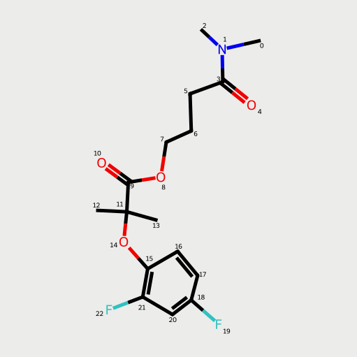 CN(C)C(=O)CCCOC(=O)C(C)(C)Oc1ccc(F)cc1F